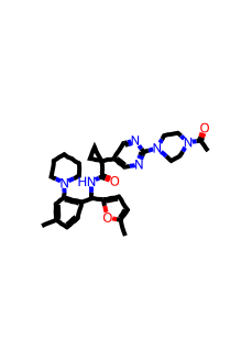 CC(=O)N1CCN(c2ncc(C3(C(=O)NC(c4ccc(C)o4)c4ccc(C)cc4N4CCCCC4)CC3)cn2)CC1